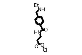 CCNCc1ccc(C(=O)NCCC(=O)OCl)cc1